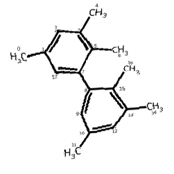 Cc1[c]c(C)c(C)c(-c2cc(C)[c]c(C)c2C)c1